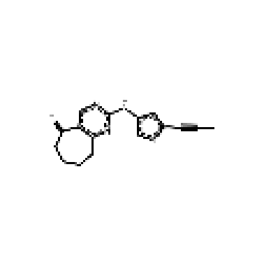 CC#Cc1cc(Nc2ncc3c(n2)CCCCC3=O)cs1